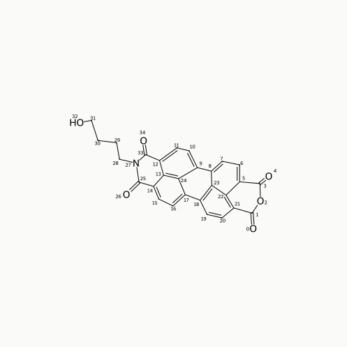 O=C1OC(=O)c2ccc3c4ccc5c6c(ccc(c7ccc1c2c73)c64)C(=O)N(CCCCO)C5=O